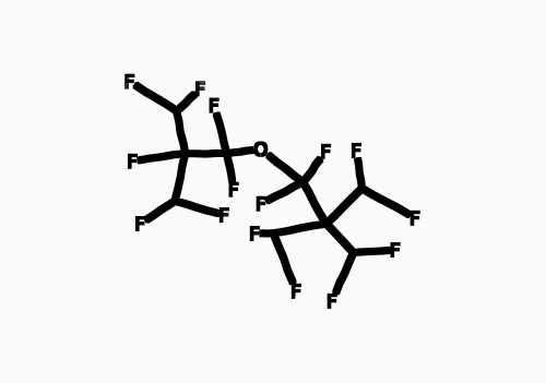 FC(F)C(F)(C(F)F)C(F)(F)OC(F)(F)C(C(F)F)(C(F)F)C(F)F